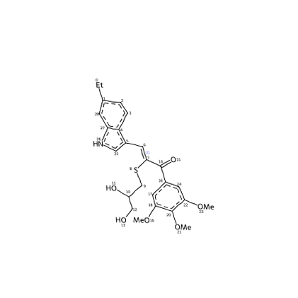 CCc1ccc2c(/C=C(\SCC(O)CO)C(=O)c3cc(OC)c(OC)c(OC)c3)c[nH]c2c1